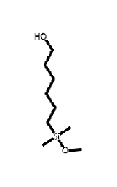 CO[Si](C)(C)CCCCCCO